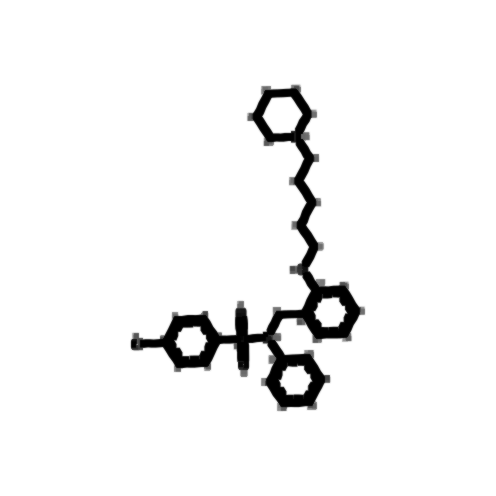 O=S(=O)(c1ccc(Cl)cc1)N(Cc1ccccc1OCCCCCN1CCCCC1)c1ccccc1